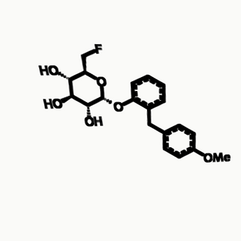 COc1ccc(Cc2ccccc2O[C@H]2O[C@H](CF)[C@@H](O)[C@H](O)[C@H]2O)cc1